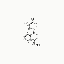 ON=C1CCC(c2ccc(Cl)c(Cl)c2)c2ccccc21